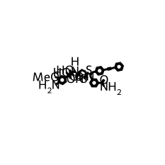 COc1cc(C(O)(O)C(O)(O)NC(=O)CC2SC(c3ccc(C#Cc4ccccc4)cc3)N(c3cccc(C(N)=O)c3)C2=O)ccc1N